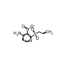 C=CCS(=O)(=O)c1nccc(N)c1[N+](=O)[O-]